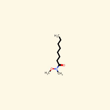 CCCCCCCC(=O)N(C)OC